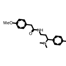 COc1ccc(CC(=O)NCCC(c2ccc(Cl)cc2)N(C)C)cc1